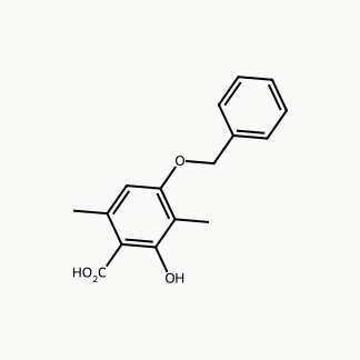 Cc1cc(OCc2ccccc2)c(C)c(O)c1C(=O)O